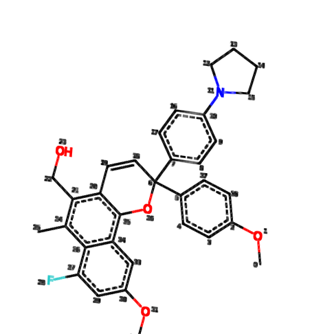 COc1ccc(C2(c3ccc(N4CCCC4)cc3)C=Cc3c(CO)c(C)c4c(F)cc(OC)cc4c3O2)cc1